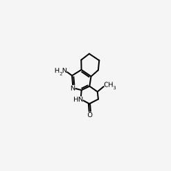 CC1CC(=O)Nc2nc(N)c3c(c21)CCCC3